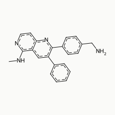 CNc1nccc2nc(-c3ccc(CN)cc3)c(-c3ccccc3)cc12